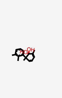 CC1=CC=CC(C)(c2cccc(C)c2C)C1(O)O